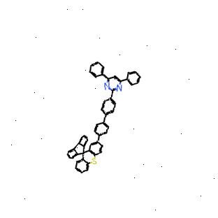 c1ccc(-c2cc(-c3ccccc3)nc(-c3ccc(-c4ccc(-c5ccc6c(c5)C5(c7ccccc7S6)c6ccccc6-c6ccccc65)cc4)cc3)n2)cc1